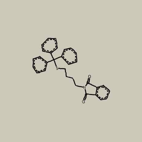 O=C1c2ccccc2C(=O)N1CCCCSC(c1ccccc1)(c1ccccc1)c1ccccc1